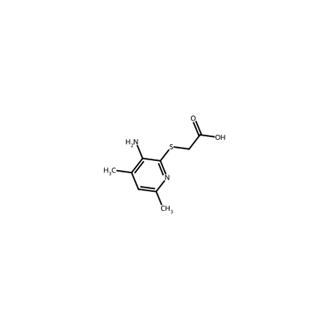 Cc1cc(C)c(N)c(SCC(=O)O)n1